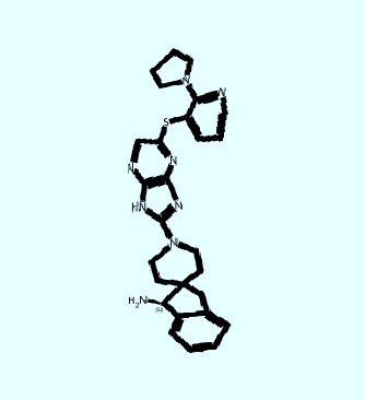 N[C@@H]1c2ccccc2CC12CCN(c1nc3nc(Sc4cccnc4N4CCCC4)cnc3[nH]1)CC2